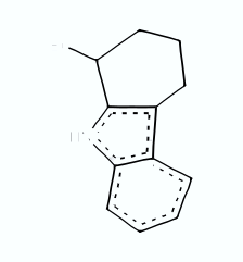 CCC1CCCc2c1[nH]c1ccccc21